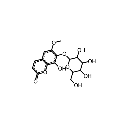 COc1cc2ccc(=O)oc2c(O)c1OC1OC(CO)C(O)C(O)C1O